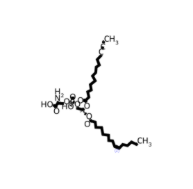 CCCCC/C=C\CCCCCCCC(=O)OC[C@H](COP(=O)(O)OC[C@H](N)C(=O)O)OC(=O)CCCCCCCCCCCCCCC